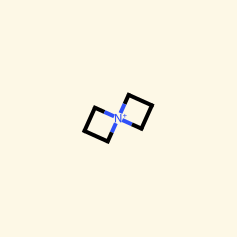 C1C[N+]2(C1)CCC2